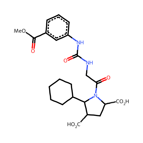 COC(=O)c1cccc(NC(=O)NCC(=O)N2C(C(=O)O)CC(C(=O)O)C2C2CCCCC2)c1